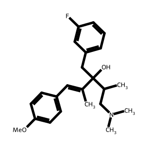 COc1ccc(/C=C(\C)C(O)(Cc2cccc(F)c2)C(C)CN(C)C)cc1